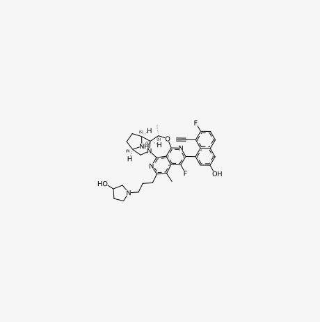 C#Cc1c(F)ccc2cc(O)cc(-c3nc4c5c(nc(CCCN6CCC(O)C6)c(C)c5c3F)N3C[C@H]5CC[C@H](N5)[C@H]3[C@H](C)O4)c12